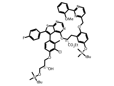 CCOC(=O)[C@@H](Cc1cc(O[Si](C)(C)C(C)(C)C)ccc1OCc1ccnc(-c2ccccc2OC)n1)Oc1ncnc2sc(-c3ccc(F)cc3)c(-c3ccc(OC[C@H](O)CO[Si](C)(C)C(C)(C)C)c(Cl)c3C)c12